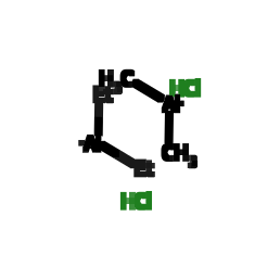 C[CH2][Al][CH2]C.Cl.Cl.[CH3][Al][CH3]